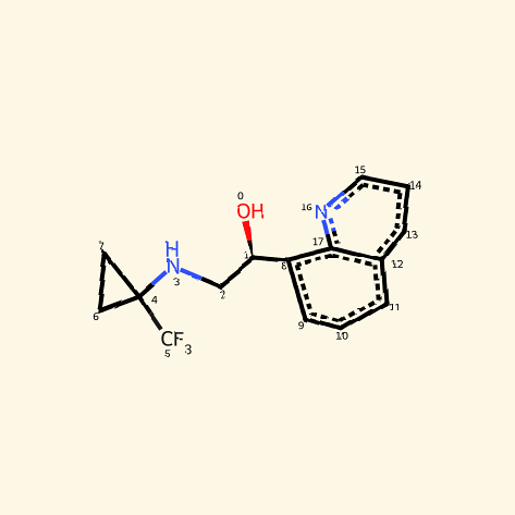 O[C@H](CNC1(C(F)(F)F)CC1)c1cccc2cccnc12